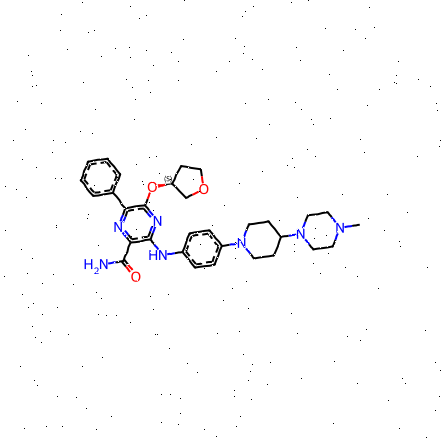 CN1CCN(C2CCN(c3ccc(Nc4nc(O[C@H]5CCOC5)c(-c5ccccc5)nc4C(N)=O)cc3)CC2)CC1